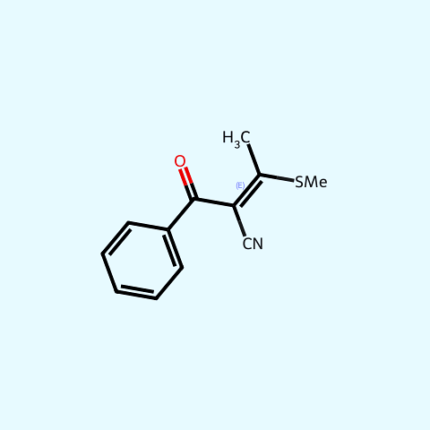 CS/C(C)=C(\C#N)C(=O)c1ccccc1